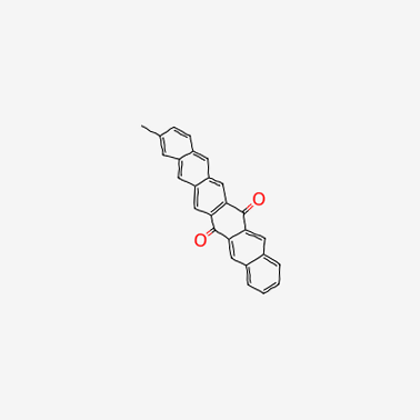 Cc1ccc2cc3cc4c(cc3cc2c1)C(=O)c1cc2ccccc2cc1C4=O